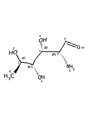 C[C@@H](O)[C@@H](O)[C@H](O)[C@@H](N)C=O